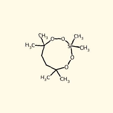 CC1(C)CCC(C)(C)OO[Si](C)(C)OO1